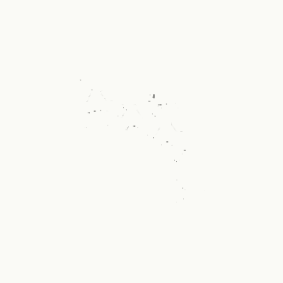 CN(C)CCNC(=O)c1cc(Cl)c(N2C(=O)NCc3nc(Sc4ccc(F)cc4F)ccc32)c(Cl)c1